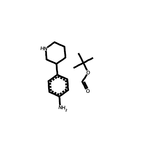 CC(C)(C)OC=O.Nc1ccc(C2CCCNC2)cc1